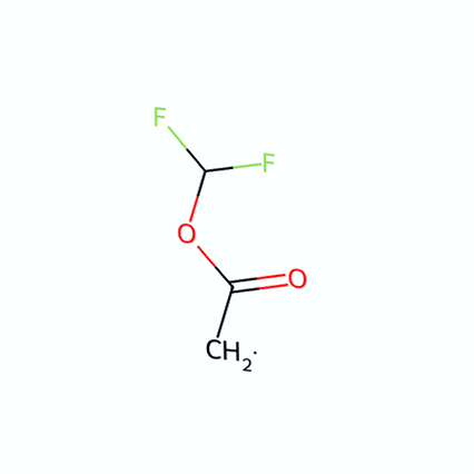 [CH2]C(=O)OC(F)F